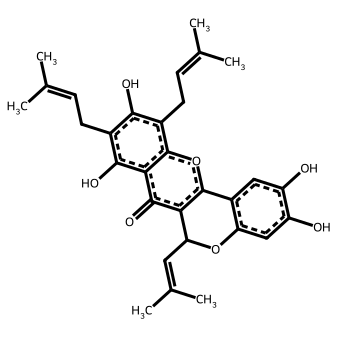 CC(C)=CCc1c(O)c(CC=C(C)C)c2oc3c(c(=O)c2c1O)C(C=C(C)C)Oc1cc(O)c(O)cc1-3